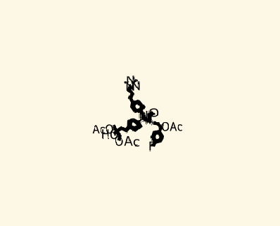 CC(=O)OCC(O)(CCc1ccc([C@@H]2[C@@H](CC[C@H](OC(C)=O)c3ccc(F)cc3)C(=O)N2c2ccc(CCCn3cncn3)cc2)cc1)COC(C)=O